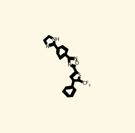 FC(F)(F)C1SC(c2nc(-c3ccc(C4=NCCN4)cc3)no2)=CC1c1ccccc1